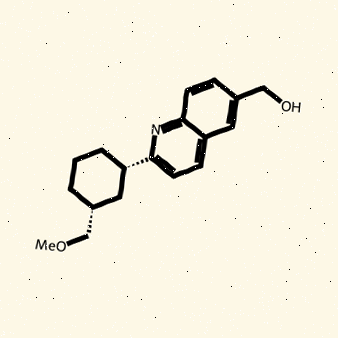 COC[C@@H]1CCC[C@H](c2ccc3cc(CO)ccc3n2)C1